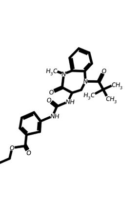 CCOC(=O)c1cccc(NC(=O)NC2CN(C(=O)C(C)(C)C)c3ccccc3N(C)C2=O)c1